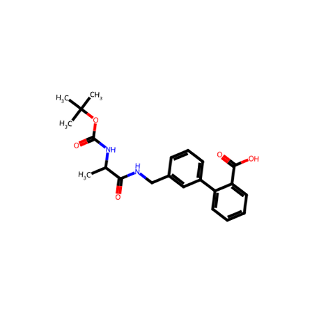 CC(NC(=O)OC(C)(C)C)C(=O)NCc1cccc(-c2ccccc2C(=O)O)c1